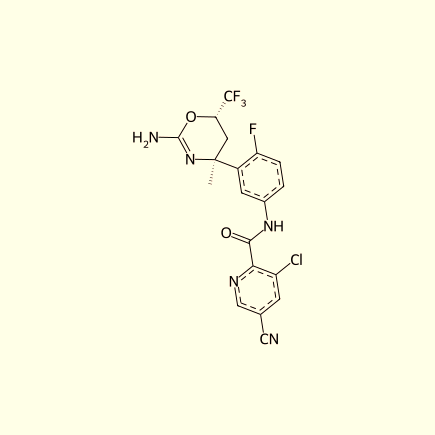 C[C@@]1(c2cc(NC(=O)c3ncc(C#N)cc3Cl)ccc2F)C[C@@H](C(F)(F)F)OC(N)=N1